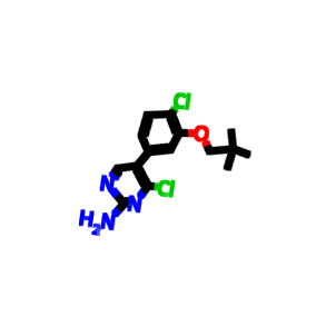 CC(C)(C)COc1cc(-c2cnc(N)nc2Cl)ccc1Cl